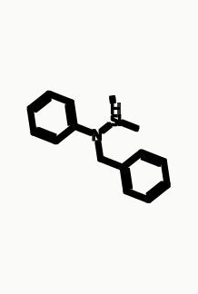 C[SiH](C)N(Cc1ccccc1)c1ccccc1